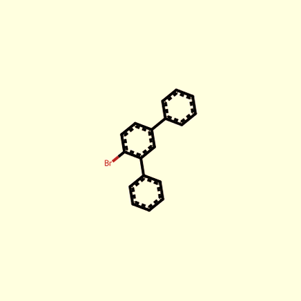 Brc1ccc(-c2ccccc2)cc1-c1ccccc1